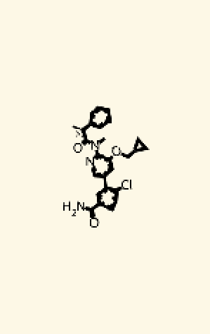 C[C@H](C(=O)N(C)c1ncc(-c2cc(C(N)=O)ccc2Cl)cc1OCC1CC1)c1ccccc1